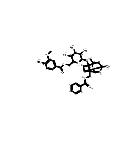 COc1cc(C(=O)OCC2OC(OC34CC5C6(O)CC3(C)OC(O6)C54COC(=O)c3ccccc3)C(O)C(O)C2O)ccc1O